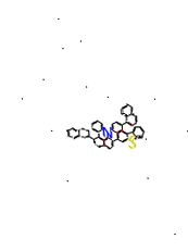 c1ccc(-c2ccccc2N(c2ccc(-c3cccc4ccccc34)cc2)c2ccccc2-c2ccc3c(c2)sc2ccccc23)c(-c2ccc3ccccc3c2)c1